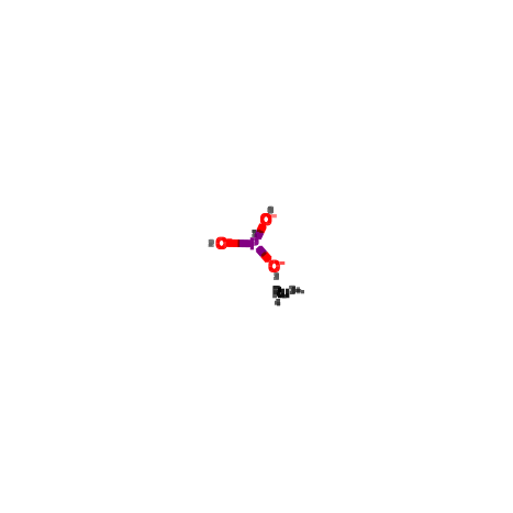 [O-]P([O-])[O-].[Ru+3]